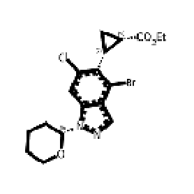 CCOC(=O)[C@H]1C[C@H]1c1c(Cl)cc2c(cnn2[C@H]2CCCCO2)c1Br